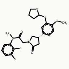 COc1ccc([C@@H]2CC(=O)N(CC(=O)N(C)c3cccc(F)c3F)C2)cc1OC1CCCO1